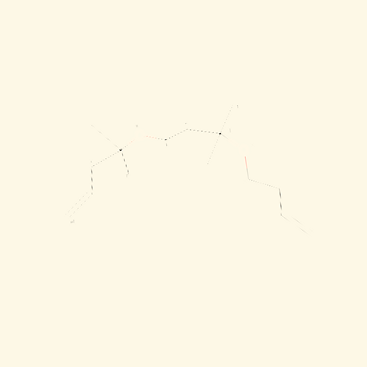 C=CCCOC(C)(C)CCOC(C)(C)CC=C